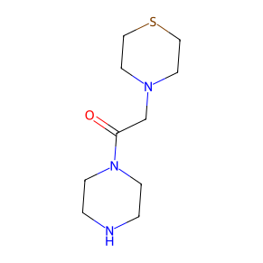 O=C(CN1CCSCC1)N1CCNCC1